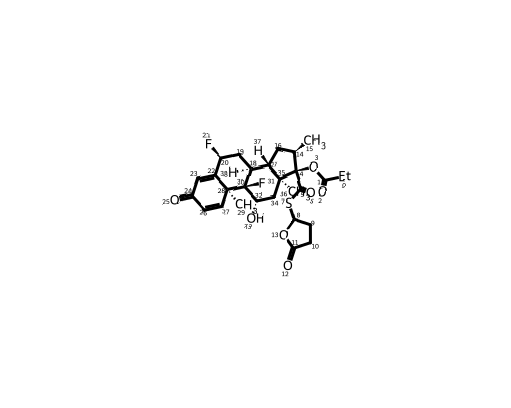 CCC(=O)O[C@]1(C(=O)SC2CCC(=O)O2)[C@H](C)C[C@H]2[C@@H]3C[C@H](F)C4=CC(=O)C=C[C@]4(C)[C@@]3(F)[C@@H](O)C[C@@]21C